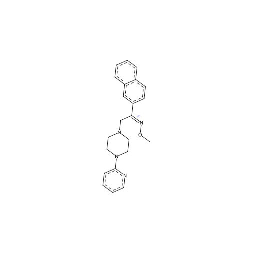 CO/N=C(\CN1CCN(c2ccccn2)CC1)c1ccc2ccccc2c1